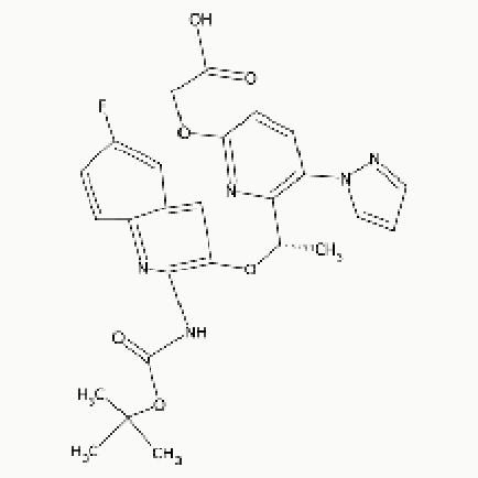 C[C@H](Oc1cc2cc(F)ccc2nc1NC(=O)OC(C)(C)C)c1nc(OCC(=O)O)ccc1-n1cccn1